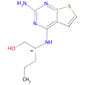 CCC[C@H](CO)Nc1nc(N)nc2sccc12